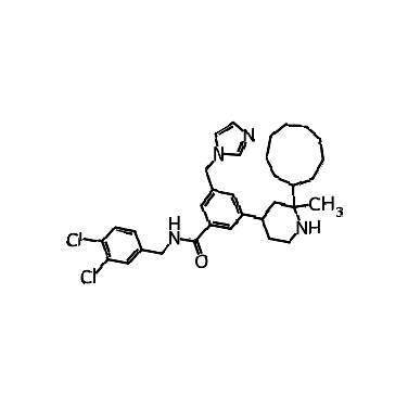 CC1(C2CCCCCCCC2)CC(c2cc(Cn3ccnc3)cc(C(=O)NCc3ccc(Cl)c(Cl)c3)c2)CCN1